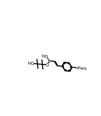 CCCCCc1ccc(C=CB(O)OC(C)(C)C(C)(C)O)cc1